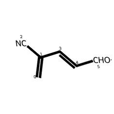 C=C(C#N)C=C[C]=O